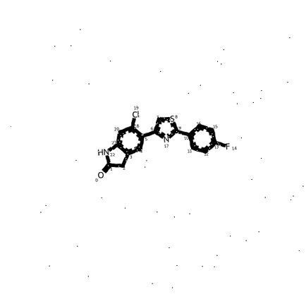 O=C1Cc2cc(-c3csc(-c4ccc(F)cc4)n3)c(Cl)cc2N1